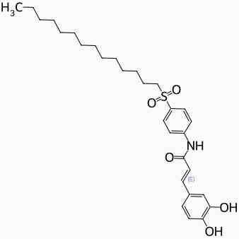 CCCCCCCCCCCCCCS(=O)(=O)c1ccc(NC(=O)/C=C/c2ccc(O)c(O)c2)cc1